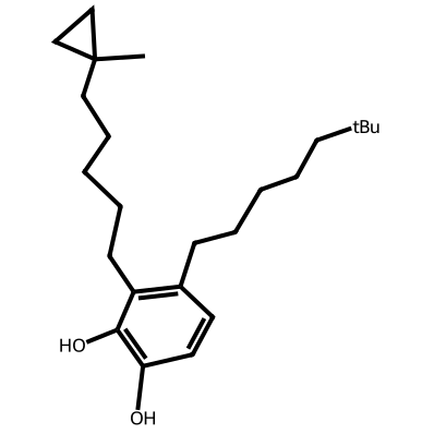 CC(C)(C)CCCCCc1ccc(O)c(O)c1CCCCCC1(C)CC1